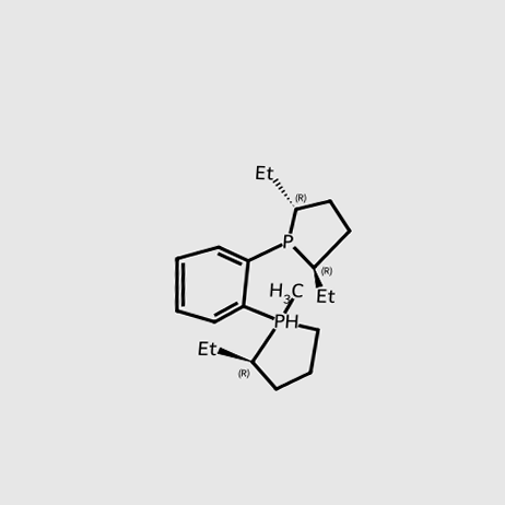 CC[C@@H]1CC[C@@H](CC)P1c1ccccc1[PH]1(C)CCC[C@H]1CC